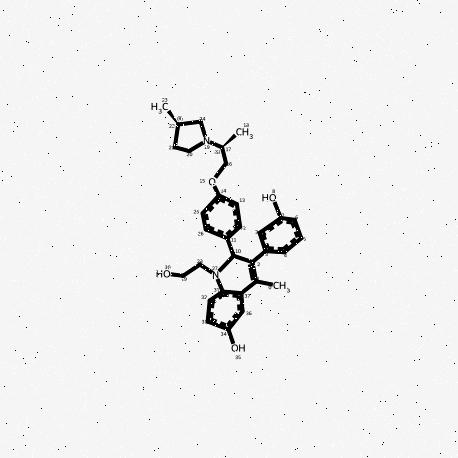 CC1=C(c2cccc(O)c2)C(c2ccc(OC[C@H](C)N3CC[C@@H](C)C3)cc2)N(CCO)c2ccc(O)cc21